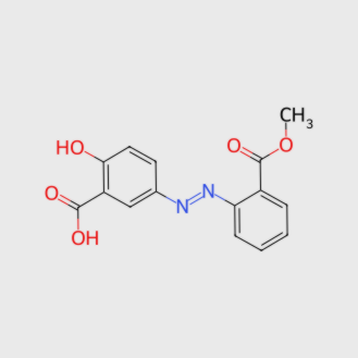 COC(=O)c1ccccc1N=Nc1ccc(O)c(C(=O)O)c1